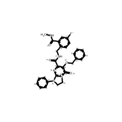 CNC(=O)c1cc(F)ccc1CNC(=O)c1nc2n(c(=O)c1OCc1ccccc1)CCN2c1ccccc1